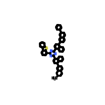 CC1C=Cc2ccc(-c3ccc(-c4nc(-c5ccc(-c6ccc7ccc(-c8ccccc8)cc7c6)c6ccccc56)nc(-c5cccc6c5sc5ccccc56)n4)c4ccccc34)cc2C1